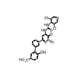 CCn1nc(-c2cccc(-c3cc(C(=O)O)ccc3O)c2)cc(NC(=O)Nc2c(Cl)cncc2Cl)c1=O